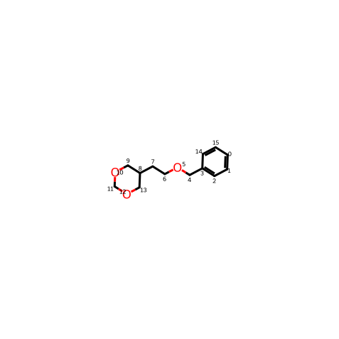 c1ccc(COCCC2COCOC2)cc1